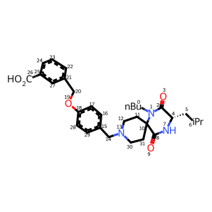 CCCCN1C(=O)[C@H](CC(C)C)NC(=O)C12CCN(Cc1ccc(OCc3cccc(C(=O)O)c3)cc1)CC2